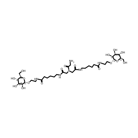 NCC(=O)N(CC(=O)NCCCCCC(=O)NCCO[C@H]1O[C@H](CO)[C@@H](O)[C@H](O)[C@@H]1O)CC(=O)NCCCCCC(=O)NCCO[C@H]1O[C@H](CO)[C@@H](O)[C@H](O)[C@@H]1O